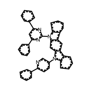 c1ccc(-c2ccc(-n3c4ccccc4c4cc5c6ccccc6n(-c6nc(-c7ccccc7)cc(-c7ccccc7)n6)c5cc43)cn2)cc1